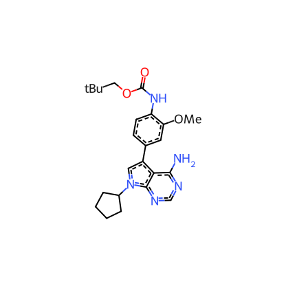 COc1cc(-c2cn(C3CCCC3)c3ncnc(N)c23)ccc1NC(=O)OCC(C)(C)C